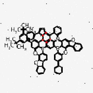 CC(C)(C)c1cc(-c2cc3c4c(c2)C(C2C=CC=C2c2ccccc2)c2cc5c(cc2B4c2ccc4c(oc6ccccc64)c2O3)B2c3ccc(-c4ccccc4)cc3Oc3c2c(cc2oc4ccccc4c32)N5c2ccccc2-c2ccccc2)cc(C(C)(C)C)c1